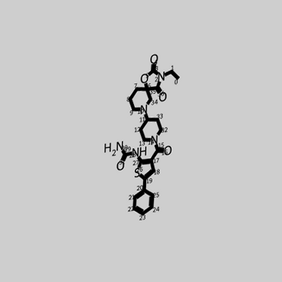 CCN1C(=O)OC2(CCCN(C3CCN(C(=O)c4cc(-c5ccccc5)sc4NC(N)=O)CC3)C2)C1=O